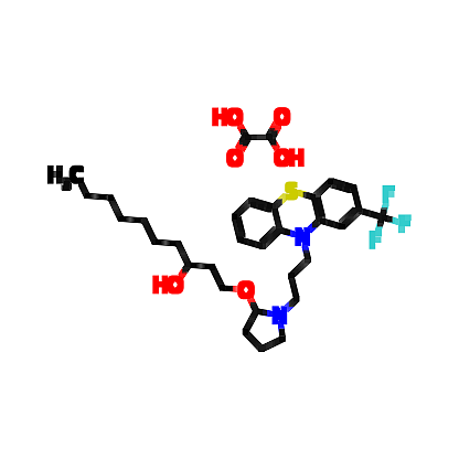 CCCCCCCC(O)CCOC1CCCN1CCCN1c2ccccc2Sc2ccc(C(F)(F)F)cc21.O=C(O)C(=O)O